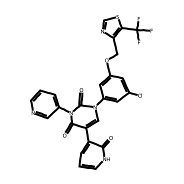 O=c1[nH]cccc1-c1cn(-c2cc(Cl)cc(OCc3ncsc3C(F)(F)F)c2)c(=O)n(-c2cccnc2)c1=O